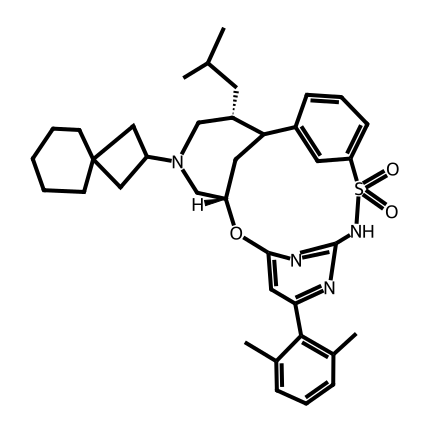 Cc1cccc(C)c1-c1cc2nc(n1)NS(=O)(=O)c1cccc(c1)C1C[C@@H](CN(C3CC4(CCCCC4)C3)C[C@@H]1CC(C)C)O2